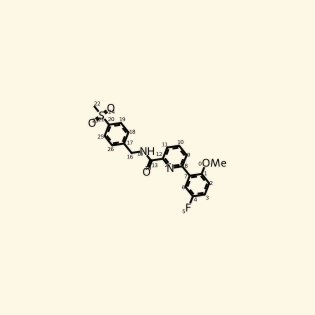 COc1ccc(F)cc1-c1cccc(C(=O)NCc2ccc(S(C)(=O)=O)cc2)n1